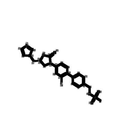 CS(=O)(=O)OCc1ccc(-c2ccc(N3C[C@H](Cn4ccnn4)OC3=O)cc2F)cc1